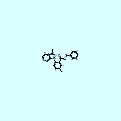 Cc1ccc(-n2nc(C)c3ccncc32)c(C(=O)OCc2ccccc2)c1